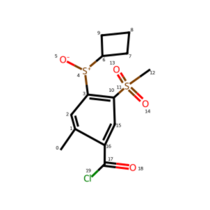 Cc1cc([S+]([O-])C2CCC2)c(S(C)(=O)=O)cc1C(=O)Cl